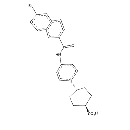 O=C(Nc1ccc([C@H]2CC[C@H](C(=O)O)CC2)cc1)c1ccc2cc(Br)ccc2c1